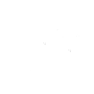 c1ccc(-c2ccccc2-c2ccc3c(c2)c2cc(-c4ccccc4-c4ccccc4)ccc2n3-c2ccccc2-c2ccccc2-n2c3ccccc3c3oc4ccccc4c32)cc1